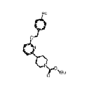 CC(=O)c1ccc(COc2cccc(C3CCN(C(=O)OC(C)(C)C)CC3)n2)cc1